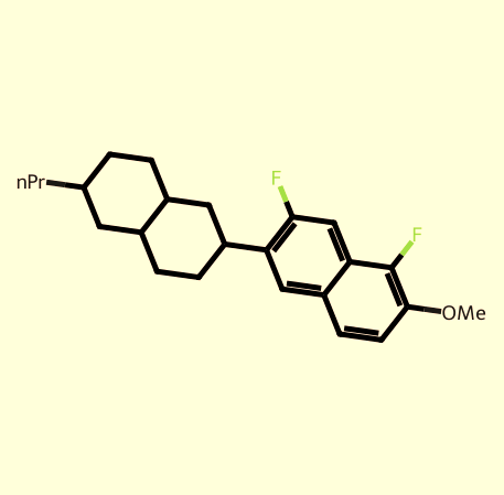 CCCC1CCC2CC(c3cc4ccc(OC)c(F)c4cc3F)CCC2C1